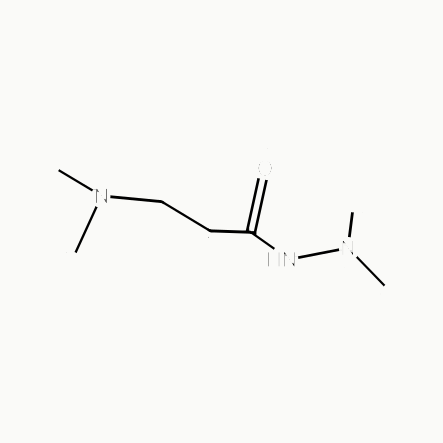 CN(C)CCC(=O)NN(C)C